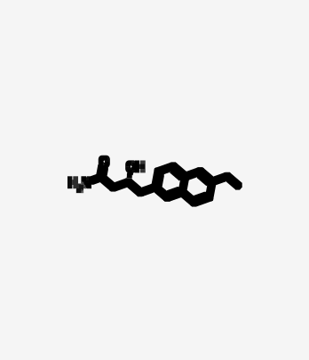 CCc1ccc2cc(C[C@@H](O)CC(N)=O)ccc2c1